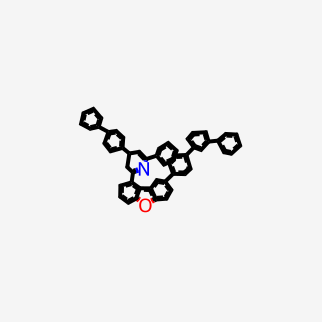 C1=C(c2ccccc2)N=C(c2cccc3oc4ccc(-c5ccc(-c6cccc(-c7ccccc7)c6)cc5)cc4c23)CC1c1ccc(-c2ccccc2)cc1